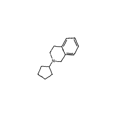 c1ccc2c(c1)CCN(C1CCCC1)C2